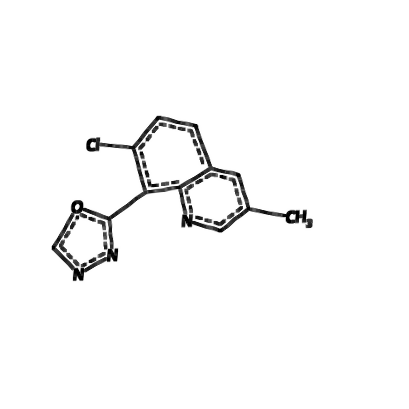 Cc1cnc2c(-c3nnco3)c(Cl)ccc2c1